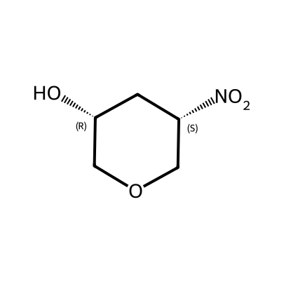 O=[N+]([O-])[C@@H]1COC[C@H](O)C1